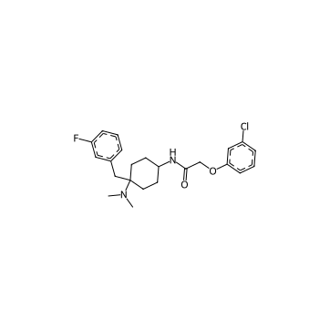 CN(C)C1(Cc2cccc(F)c2)CCC(NC(=O)COc2cccc(Cl)c2)CC1